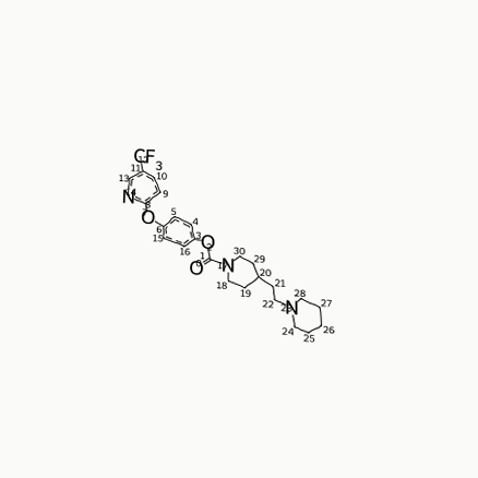 O=C(Oc1ccc(Oc2ccc(C(F)(F)F)cn2)cc1)N1CCC(CCN2CCCCC2)CC1